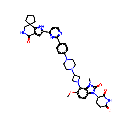 COc1ccc2c(c1N1CC(N3CCN(c4ccc(-c5nccc(-c6cc7c([nH]6)C6(CCCC6)CNC7=O)n5)cc4)CC3)C1)n(C)c(=O)n2C1CCC(=O)NC1=O